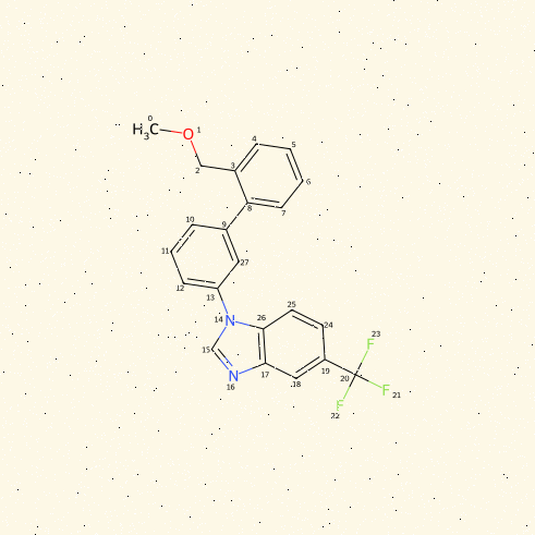 COCc1ccccc1-c1cccc(-n2cnc3cc(C(F)(F)F)ccc32)c1